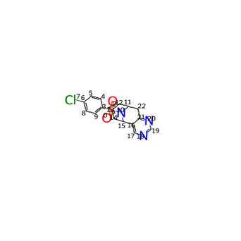 O=S(=O)(c1ccc(Cl)cc1)N1C2CCCC1c1cncnc1C2